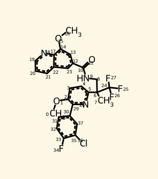 COc1ccc(C(C)(CNC(=O)c2cc(OC)c3ncccc3c2)C(F)(F)F)nc1-c1ccc(F)c(Cl)c1